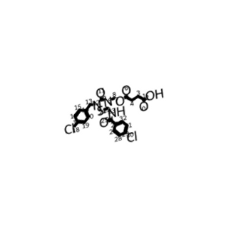 O=C(O)CCC(=O)OCN1C(=O)N(Cc2ccc(Cl)cc2)SC1NC(=O)c1ccc(Cl)cc1